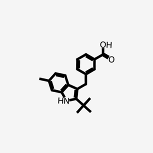 Cc1ccc2c(Cc3cccc(C(=O)O)c3)c(C(C)(C)C)[nH]c2c1